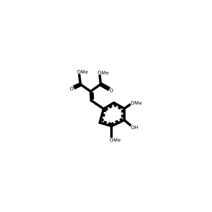 COC(=O)C(=Cc1cc(OC)c(O)c(OC)c1)C(=O)OC